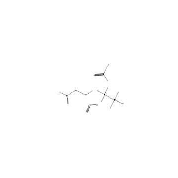 CC(=O)OC(OC=O)(OCCC(F)F)C(F)(F)F